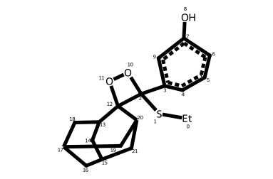 CCSC1(c2cccc(O)c2)OOC12C1CC3CC(C1)CC2C3